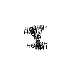 CC(=O)CCCCCCC(=O)N(CCCO[C@@H]1O[C@H](CO)[C@@H](O)[C@H](O)[C@@H]1O)CCO[C@@H]1O[C@@H](C)[C@@H](O)[C@@H](O)[C@@H]1O